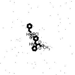 COC(=O)C(=O)c1c(-c2ccc(Cl)c(S(=O)(=O)NCCc3ccccc3)c2)[nH]c2ccccc12